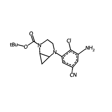 CC(C)(C)OC(=O)N1CCN(c2cc(C#N)cc(N)c2Cl)C2CC21